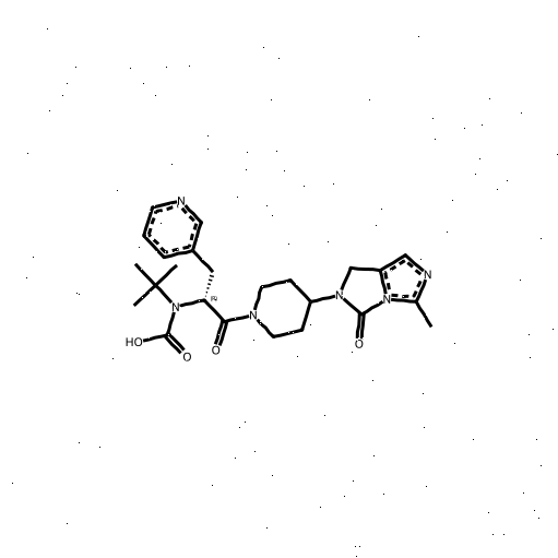 Cc1ncc2n1C(=O)N(C1CCN(C(=O)[C@@H](Cc3cccnc3)N(C(=O)O)C(C)(C)C)CC1)C2